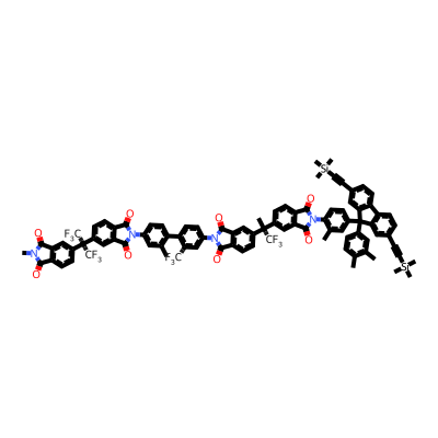 Cc1ccc(C2(c3ccc(N4C(=O)c5ccc(C(C)(c6ccc7c(c6)C(=O)N(c6ccc(-c8ccc(N9C(=O)c%10ccc(C(c%11ccc%12c(c%11)C(=O)N(C)C%12=O)(C(F)(F)F)C(F)(F)F)cc%10C9=O)cc8C)c(C(F)(F)F)c6)C7=O)C(F)(F)F)cc5C4=O)c(C)c3)c3cc(C#C[Si](C)(C)C)ccc3-c3ccc(C#C[Si](C)(C)C)cc32)cc1C